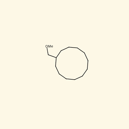 COCC1CCCCCCCCCCC1